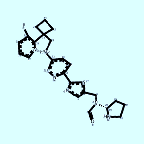 O=CN(Cc1cnc(-c2ccc(NCC3(c4ncccc4F)CCC3)nn2)s1)[C@@H]1CCCN1